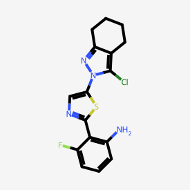 Nc1cccc(F)c1-c1ncc(-n2nc3c(c2Cl)CCCC3)s1